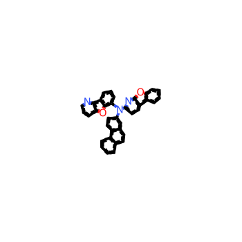 c1ccc2c(c1)ccc1cc(N(c3ccc4c(n3)oc3ccccc34)c3cccc4c3oc3cccnc34)ccc12